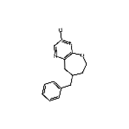 Clc1cnc2c(n1)OCCC(Cc1ccccc1)C2